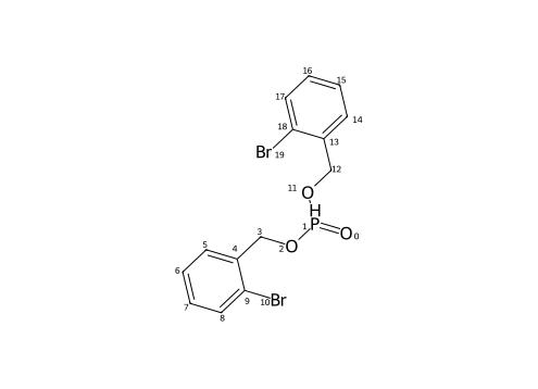 O=[PH](OCc1ccccc1Br)OCc1ccccc1Br